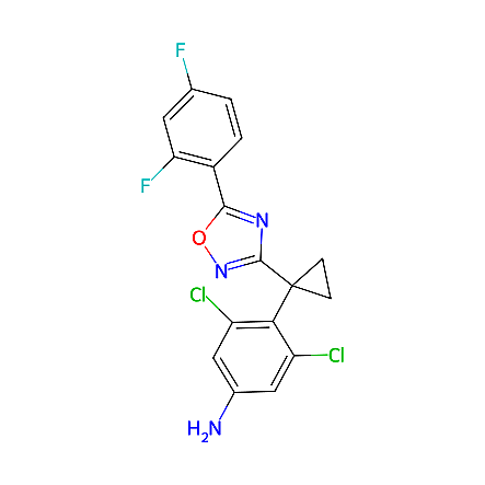 Nc1cc(Cl)c(C2(c3noc(-c4ccc(F)cc4F)n3)CC2)c(Cl)c1